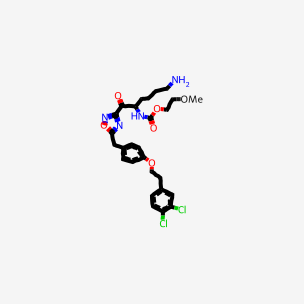 COCCOC(=O)NC(CCCCN)C(=O)c1noc(Cc2ccc(OCCc3ccc(Cl)c(Cl)c3)cc2)n1